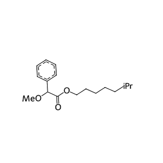 COC(C(=O)OCCCCCC(C)C)c1ccccc1